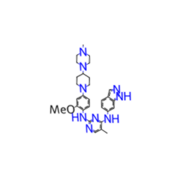 COc1cc(N2CCC(N3CCN(C)CC3)CC2)ccc1Nc1ncc(C)c(Nc2ccc3cn[nH]c3c2)n1